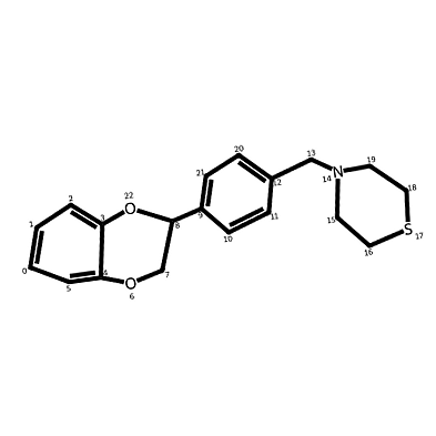 c1ccc2c(c1)OCC(c1ccc(CN3CCSCC3)cc1)O2